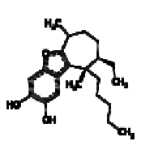 CCCCC[C@]1(C)c2c(oc3cc(O)c(O)cc23)C(C)CC[C@H]1CC